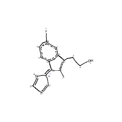 CC1=C(CCO)c2cc(F)ccc2/C1=C1/C=CC=N1